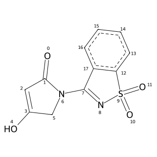 O=C1C=C(O)CN1C1=NS(=O)(=O)c2ccccc21